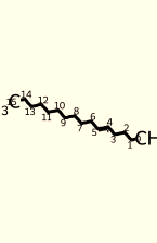 CCCC[C]=CCCCCCCCCCC